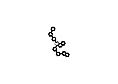 c1ccc(-c2cccc(-c3ccc(-c4nc(-c5cccc(-c6cccc(-c7ccc8ccccc8c7)c6)c5)c5ccc6ccccc6c5n4)cc3)c2)cc1